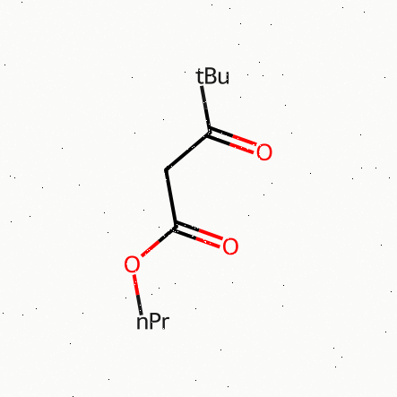 CCCOC(=O)CC(=O)C(C)(C)C